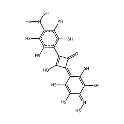 O=C1C(=C2C(S)=C(S)C(=NS)C(S)=C2S)C(O)=C1c1c(S)c(S)c(N(S)S)c(S)c1S